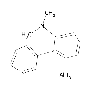 CN(C)c1ccccc1-c1ccccc1.[AlH3]